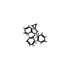 c1ccc([PH](CC2CC2)(c2ccccc2)c2ccccc2)cc1